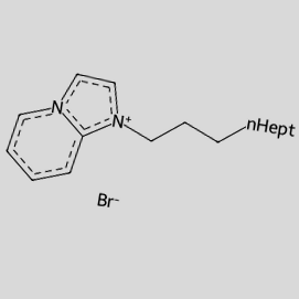 CCCCCCCCCC[n+]1ccn2ccccc21.[Br-]